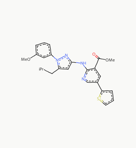 COC(=O)c1cc(-c2cccs2)cnc1Nc1cc(CC(C)C)n(-c2cccc(OC)c2)n1